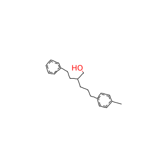 Cc1ccc(CCCC(CO)CCc2ccccc2)cc1